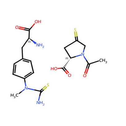 CC(=O)N1CC(=S)C[C@H]1C(=O)O.CN(C(N)=S)c1ccc(C[C@H](N)C(=O)O)cc1